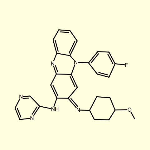 COC1CCC(/N=c2\cc3n(-c4ccc(F)cc4)c4ccccc4nc-3cc2Nc2cnccn2)CC1